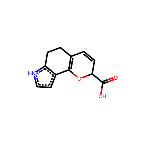 O=C(O)C1C=CC2=C(O1)c1cc[nH]c1CC2